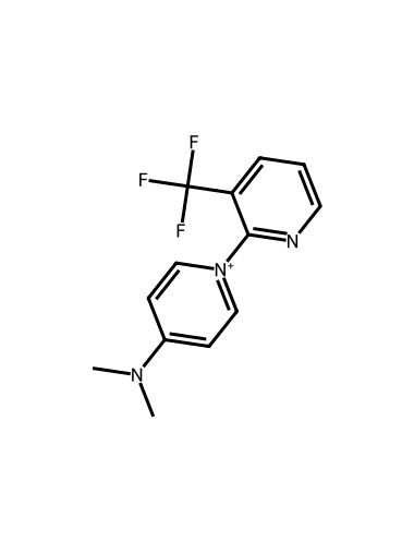 CN(C)c1cc[n+](-c2ncccc2C(F)(F)F)cc1